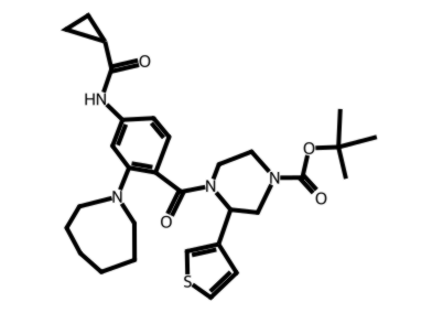 CC(C)(C)OC(=O)N1CCN(C(=O)c2ccc(NC(=O)C3CC3)cc2N2CCCCCC2)C(c2ccsc2)C1